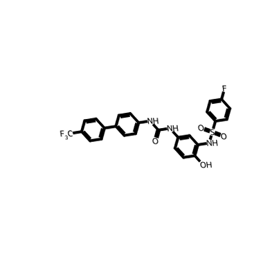 O=C(Nc1ccc(-c2ccc(C(F)(F)F)cc2)cc1)Nc1ccc(O)c(NS(=O)(=O)c2ccc(F)cc2)c1